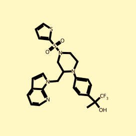 CC(O)(c1ccc(N2CCN(S(=O)(=O)c3cccs3)CC2Cn2ccc3cccnc32)cc1)C(F)(F)F